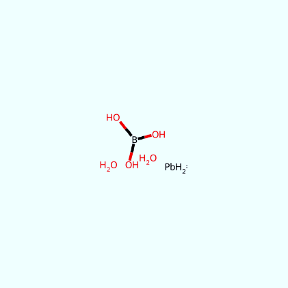 O.O.OB(O)O.[PbH2]